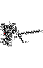 CCCCCCCCCCCCC/C=C/[C@@H](O)[C@H](CO[C@@H]1OC(CO)[C@@H](O[C@@H]2OC(CO)[C@H](O)[C@H](O[C@]3(C(=O)O)CC(O)[C@@H](NC(C)=O)C([C@H](O)[C@@H](CO)O[C@]4(C(=O)O)CC(O)[C@@H](NC(C)=O)C([C@H](O)[C@@H](CO)O[C@]5(C(=O)O)CC(O)[C@@H](NC(C)=O)C([C@H](O)[C@H](O)CO)O5)O4)O3)C2O)[C@H](O)C1O)NC(=O)CCCCCCCCCCCCCCCCCCCCCCCCC